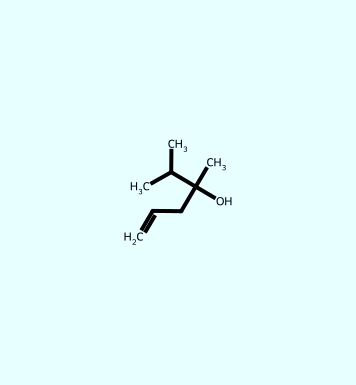 C=CCC(C)(O)C(C)C